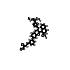 C=C(N)c1ccc(CN(Cc2ccc(-c3cccc(SCC(=O)N=O)c3)cc2)C(=O)c2c(C)ccc3ccccc23)o1